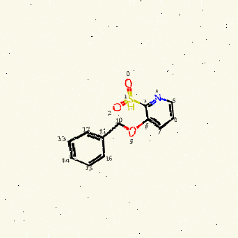 O=[SH](=O)c1ncccc1OCc1ccccc1